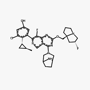 C[C@H]1C[C@@H]1c1c(Cl)cc(O)cc1-c1ncc2c(N3CC4CCC(C3)N4)nc(OC[C@@]34CCCN3C[C@H](F)C4)nc2c1F